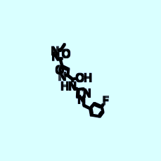 Cc1nnc(-c2cc(C(O)Nc3cnn(Cc4cccc(F)c4)c3)no2)o1